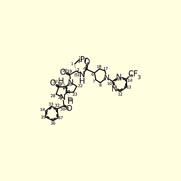 CC(C)C[C@H](NC(=O)C1CCN(c2nccc(C(F)(F)F)n2)CC1)C(=O)N1CC[C@@H]2[C@H]1C(=O)CN2C(=O)c1ccccc1